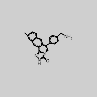 Cc1ccc2cc3c(-c4ccc(CN)cc4)cn4c(=O)[nH]nc4c3cc2c1